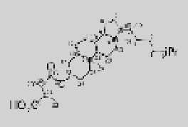 CC(C)CCC[C@@H](C)[C@H]1CCC2C3CC=C4CC(OC(=O)C(C)C(C)C(=O)O)CC[C@]4(C)C3CC[C@@]21C